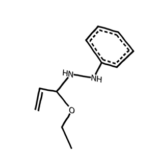 C=CC(NNc1ccccc1)OCC